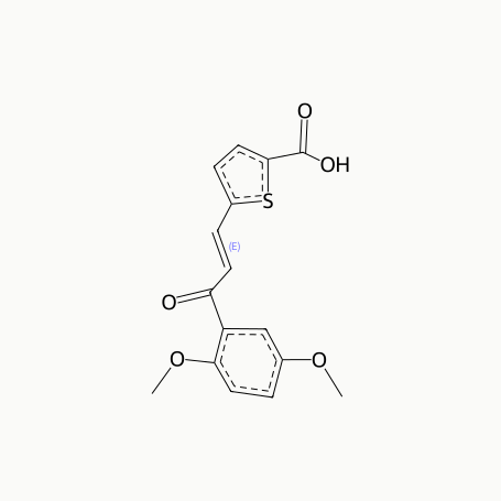 COc1ccc(OC)c(C(=O)/C=C/c2ccc(C(=O)O)s2)c1